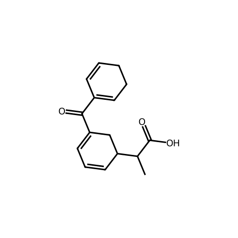 CC(C(=O)O)C1C=CC=C(C(=O)C2=CCCC=C2)C1